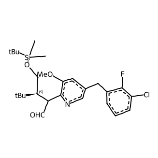 COc1cc(Cc2cccc(Cl)c2F)cnc1C(C=O)[C@H](CO[Si](C)(C)C(C)(C)C)C(C)(C)C